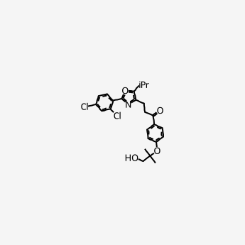 CC(C)c1oc(-c2ccc(Cl)cc2Cl)nc1CCC(=O)c1ccc(OC(C)(C)CO)cc1